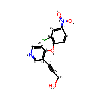 O=[N+]([O-])c1ccc(Oc2ccncc2C#CCO)c(F)c1